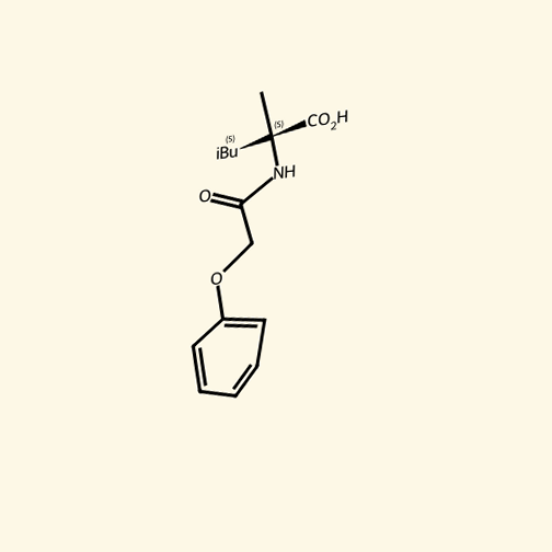 CC[C@H](C)[C@](C)(NC(=O)COc1ccccc1)C(=O)O